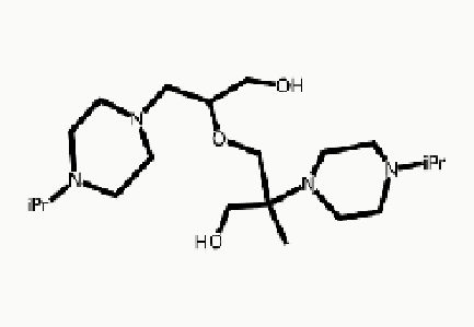 CC(C)N1CCN(CC(CO)OCC(C)(CO)N2CCN(C(C)C)CC2)CC1